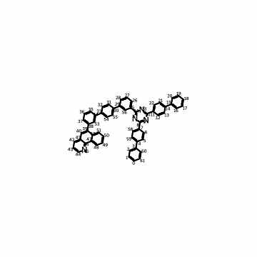 c1ccc(-c2ccc(-c3nc(-c4ccc(-c5ccccc5)cc4)nc(-c4cccc(-c5ccc(-c6cccc(-c7cc8cccnc8c8ccccc78)c6)cc5)c4)n3)cc2)cc1